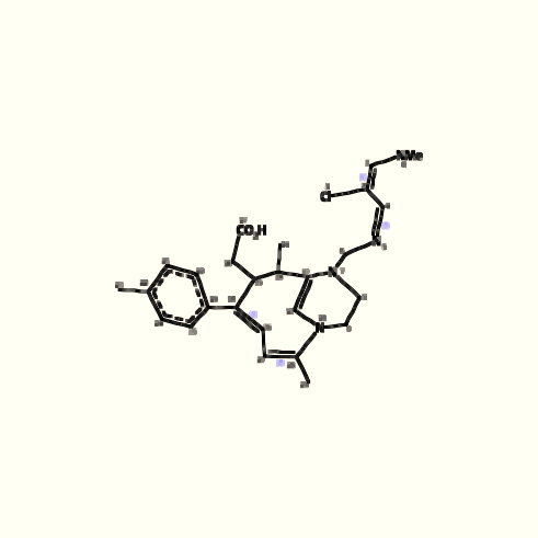 CN/C=C(Cl)\C=N/CN1CCN2C=C1C(C)C(CC(=O)O)/C(c1ccc(C)cc1)=C/C=C\2C